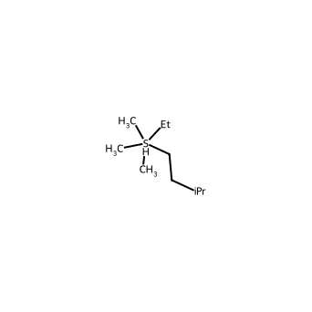 CC[SH](C)(C)(C)CCC(C)C